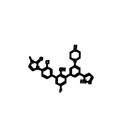 Cn1ccn(-c2ccc(-c3cc(F)cc(-c4cc(-c5ccn[nH]5)cc(N5CCNCC5)c4)c3O)cc2Cl)c1=O